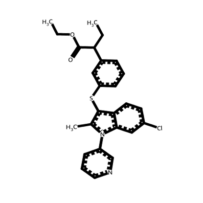 CCOC(=O)C(CC)c1cccc(Sc2c(C)n(-c3cccnc3)c3cc(Cl)ccc23)c1